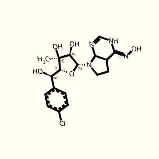 C[C@@]1(O)[C@@H]([C@H](O)c2ccc(Cl)cc2)O[C@@H](N2CCC3/C(=N/O)NC=NC32)[C@@H]1O